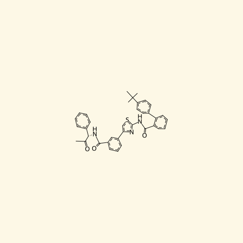 CC(=O)[C@@H](NC(=O)c1cccc(-c2csc(NC(=O)c3ccccc3-c3ccc(C(C)(C)C)cc3)n2)c1)c1ccccc1